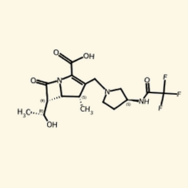 C[C@H]1C(CN2CC[C@H](NC(=O)C(F)(F)F)C2)=C(C(=O)O)N2C(=O)[C@@H]([C@@H](C)O)C12